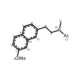 COc1ccc2ccc(CCN(C)C(C)=O)cc2c1